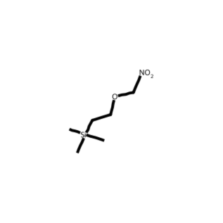 C[Si](C)(C)CCOC[N+](=O)[O-]